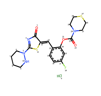 Cl.O=C1N=C(N2CCCCN2)SC1=Cc1ccc(F)cc1OC(=O)N1CCSCC1